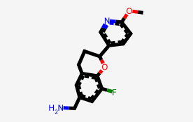 COc1ccc(C2CCc3cc(CN)cc(F)c3O2)cn1